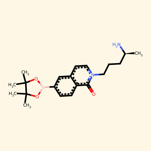 C[C@H](N)CCCn1ccc2cc(B3OC(C)(C)C(C)(C)O3)ccc2c1=O